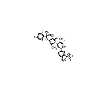 BC(O)(Oc1cc(C)n(C2=CC(c3ccnc(C(C)(C)O)n3)NC=C2C)c(=O)c1Cl)c1ncc(F)cc1F